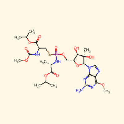 COC(=O)NC(CSP(=O)(N[C@@H](C)C(=O)OC(C)C)OC[C@H]1OC(n2cnc3c(OC)nc(N)nc32)[C@](C)(O)[C@@H]1O)C(=O)OC(C)C